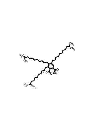 CC(C)CCCCCCCCCc1cc(C(=O)O)c(C(=O)O)c(CCCCCCCCCC(C)C)c1CCCCCCCCCC(C)C